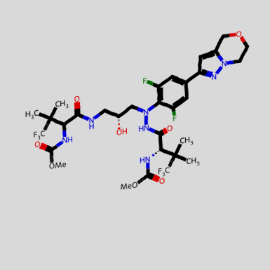 COC(=O)NC(C(=O)NC[C@@H](O)CN(NC(=O)[C@@H](NC(=O)OC)C(C)(C)C(F)(F)F)c1c(F)cc(-c2cc3n(n2)CCOC3)cc1F)C(C)(C)C(F)(F)F